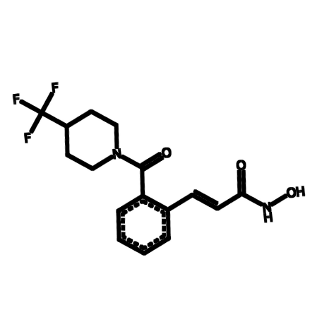 O=C(C=Cc1ccccc1C(=O)N1CCC(C(F)(F)F)CC1)NO